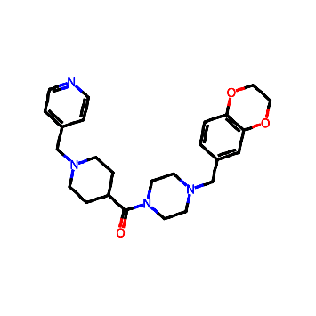 O=C(C1CCN(Cc2ccncc2)CC1)N1CCN(Cc2ccc3c(c2)OCCO3)CC1